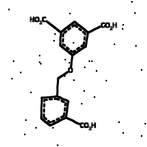 O=C(O)c1cccc(COc2cc(C(=O)O)cc(C(=O)O)c2)c1